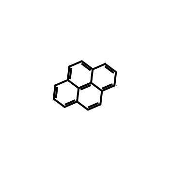 [c]1c[c]c2ccc3cccc4ccc1c2c43